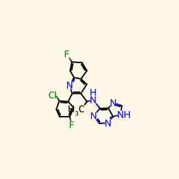 CC(Nc1ncnc2[nH]cnc12)c1cc2ccc(F)cc2nc1-c1cc(F)ccc1Cl